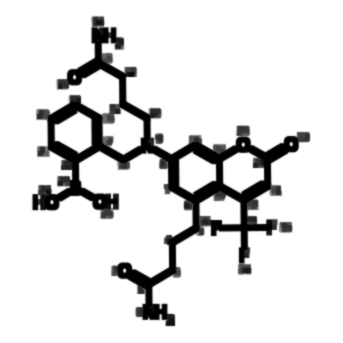 NC(=O)CCCc1cc(N(CCCC(N)=O)Cc2ccccc2B(O)O)cc2oc(=O)cc(C(F)(F)F)c12